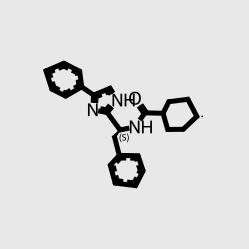 O=C(N[C@@H](Cc1ccccc1)c1nc(-c2ccccc2)c[nH]1)C1CC[CH]CC1